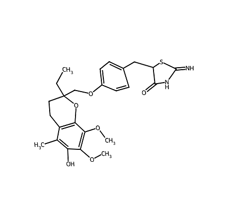 CCC1(COc2ccc(CC3SC(=N)NC3=O)cc2)CCc2c(C)c(O)c(OC)c(OC)c2O1